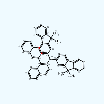 CC1(C)c2ccccc2-c2ccc(N(c3ccc4c(c3)C(C)(C)c3ccccc3-4)c3ccc4ccccc4c3-c3ccc4ccccc4c3)cc21